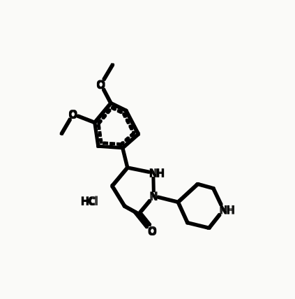 COc1ccc(C2CCC(=O)N(C3CCNCC3)N2)cc1OC.Cl